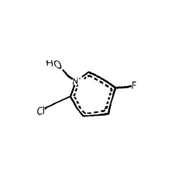 O[n+]1cc(F)ccc1Cl